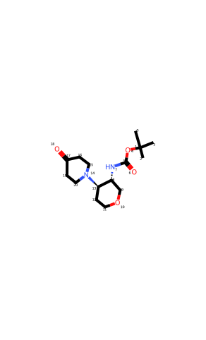 CC(C)(C)OC(=O)N[C@@H]1COCC[C@H]1N1CCC(=O)CC1